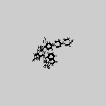 COc1cc(N2CCC(N3CCN(C)CC3)CC2)ccc1Nc1nc(Nc2cccc3c2N(S(C)(=O)=O)CC3)c2nn(C)cc2n1